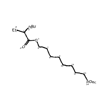 [CH2]CCCC(CC)C(=O)OCCCCCCCCCCCCCCCCCC